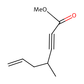 C=CCC(C)C#CC(=O)OC